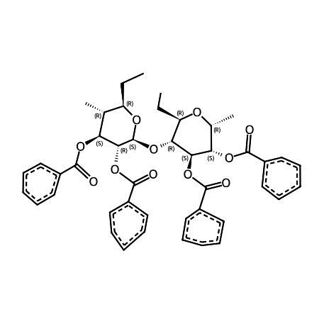 CC[C@H]1O[C@@H](O[C@H]2[C@H](OC(=O)c3ccccc3)[C@@H](OC(=O)c3ccccc3)[C@@H](C)O[C@@H]2CC)[C@H](OC(=O)c2ccccc2)[C@@H](OC(=O)c2ccccc2)[C@@H]1C